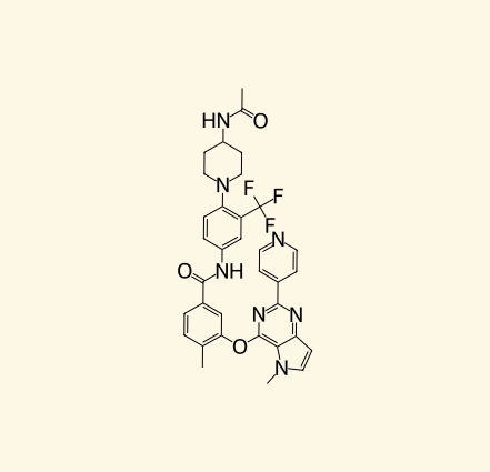 CC(=O)NC1CCN(c2ccc(NC(=O)c3ccc(C)c(Oc4nc(-c5ccncc5)nc5ccn(C)c45)c3)cc2C(F)(F)F)CC1